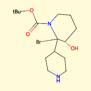 CC(C)(C)OC(=O)N1CCC[C@H](O)C1(Br)C1CCNCC1